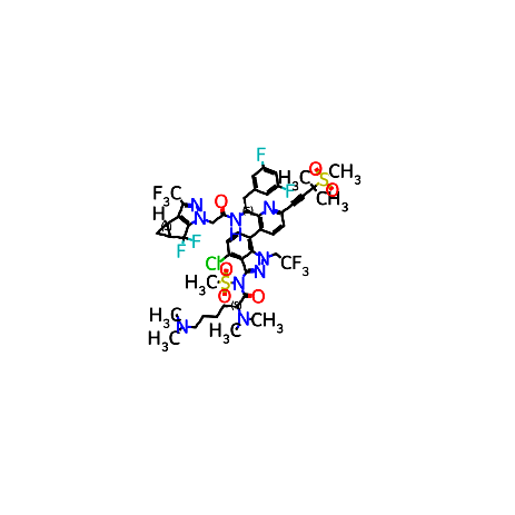 CN(C)CCCC[C@@H](C(=O)N(c1nn(CC(F)(F)F)c2c(-c3ccc(C#CC(C)(C)S(C)(=O)=O)nc3[C@H](Cc3cc(F)cc(F)c3)NC(=O)Cn3nc(C(F)(F)F)c4c3C(F)(F)C3C[C@H]43)ccc(Cl)c12)S(C)(=O)=O)N(C)C